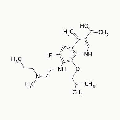 C=C(O)C1=CNc2c(cc(F)c(NCCN(C)CCC)c2OCC(C)C)C1=C